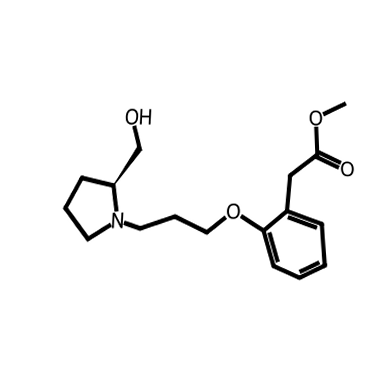 COC(=O)Cc1ccccc1OCCCN1CCC[C@H]1CO